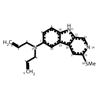 C=CCN(CC=C)c1ccc2[nH]c3cnc(SC)cc3c2c1